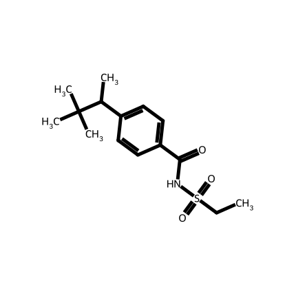 CCS(=O)(=O)NC(=O)c1ccc(C(C)C(C)(C)C)cc1